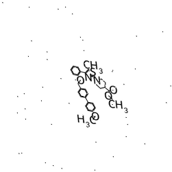 CCOC(=O)C1CCN(c2nc(-c3ccccc3OCc3ccc(-c4ccc(OC)cc4)cc3)c(C)s2)CC1